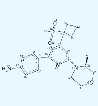 C[C@H]1COCCN1c1cc(C2(S(C)(=O)=O)CCC2)nc(-c2ccc(N)cc2)n1